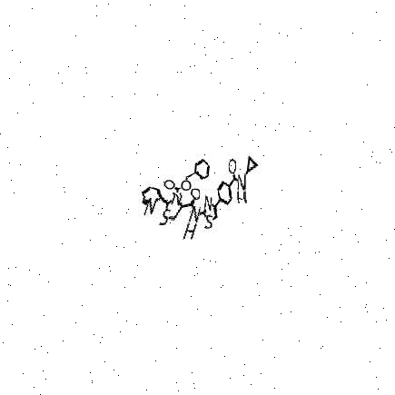 O=C(NC1CC1)c1ccc(-c2csc(NC(=O)C3CSC(c4ccccn4)N3C(=O)OCc3ccccc3)n2)cc1